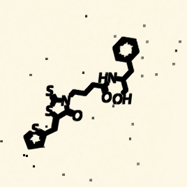 O=C(CCCN1C(=O)/C(=C/c2cccs2)SC1=S)NC(CO)Cc1ccccc1